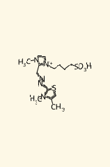 Cc1csc(=NN=Cc2n(C)cc[n+]2CCCCS(=O)(=O)O)n1C